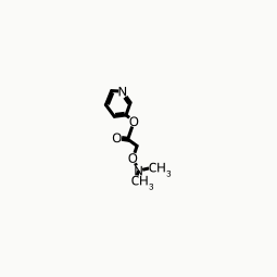 CN(C)OCC(=O)Oc1cccnc1